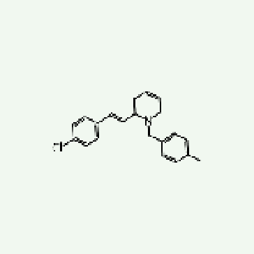 Cc1ccc(CN2CC=CCC2C=Cc2ccc(Cl)cc2)cc1